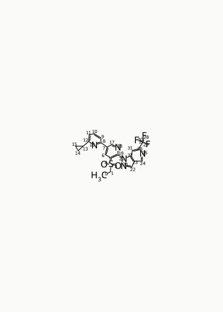 CCS(=O)(=O)c1cc(-c2cccc(C3CC3)n2)cnc1-n1ncc2cnc(C(F)(F)F)cc21